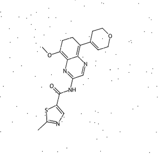 COC1=c2nc(NC(=O)c3cnc(C)s3)cnc2=C(C2=CCOCC2)CC1